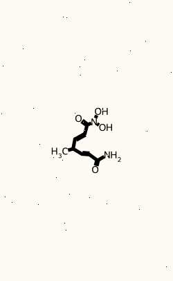 CC(C=CC(N)=O)C=CC(=O)N(O)O